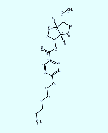 CCCCCCOc1ccc(C(=O)O[C@H]2CO[C@H]3[C@@H]2OC[C@H]3OC)cc1